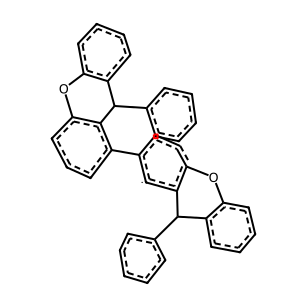 [c]1c(-c2cccc3c2C(c2ccccc2)c2ccccc2O3)ccc2c1C(c1ccccc1)c1ccccc1O2